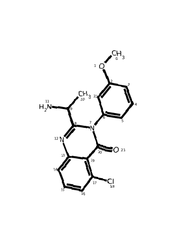 COc1cccc(-n2c(C(C)N)nc3cccc(Cl)c3c2=O)c1